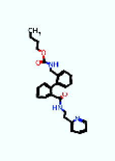 CCCCOC(=O)NCc1ccccc1-c1ccccc1C(=O)NCCc1ccccn1